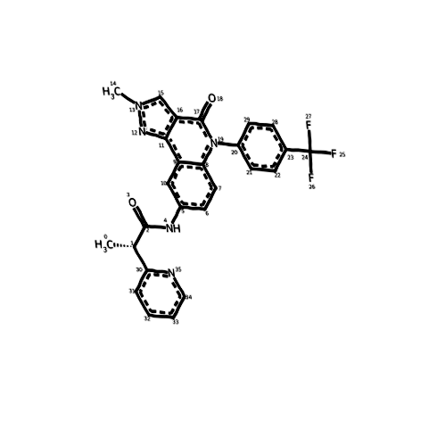 C[C@H](C(=O)Nc1ccc2c(c1)c1nn(C)cc1c(=O)n2-c1ccc(C(F)(F)F)cc1)c1ccccn1